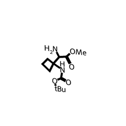 COC(=O)C(N)C1(NC(=O)OC(C)(C)C)CCC1